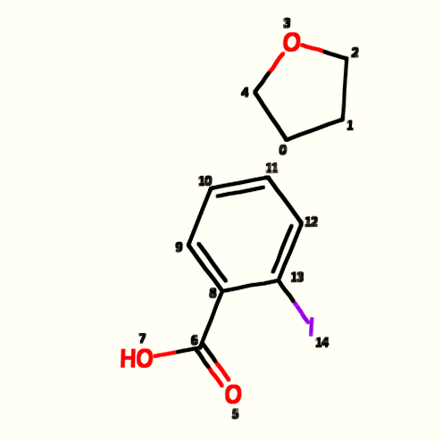 C1CCOC1.O=C(O)c1ccccc1I